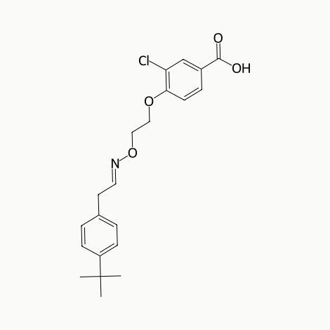 CC(C)(C)c1ccc(C/C=N/OCCOc2ccc(C(=O)O)cc2Cl)cc1